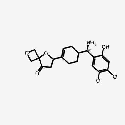 N[C@@H](c1cc(Cl)c(Cl)cc1O)C1CC=C(C2CC(=O)C3(COC3)O2)CC1